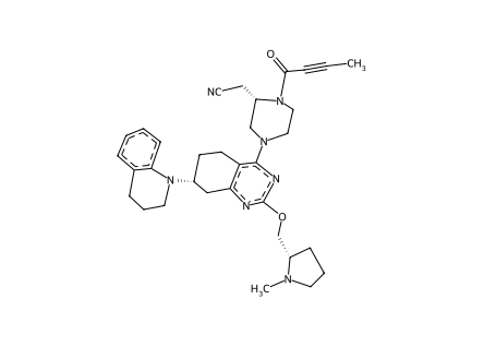 CC#CC(=O)N1CCN(c2nc(OC[C@@H]3CCCN3C)nc3c2CC[C@@H](N2CCCc4ccccc42)C3)C[C@@H]1CC#N